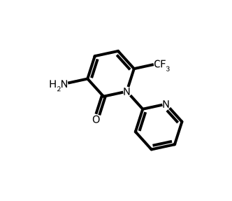 Nc1ccc(C(F)(F)F)n(-c2ccccn2)c1=O